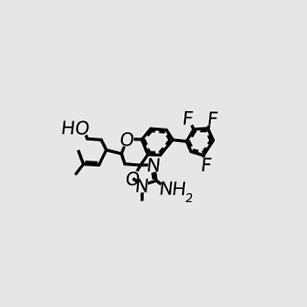 CC(C)=CC(CCO)C1CC2(N=C(N)N(C)O2)c2cc(-c3cc(F)cc(F)c3F)ccc2O1